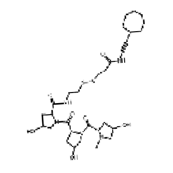 CN1CC(O)CC1C(=O)N1CC(O)CC1C(=O)N1CC(O)CC1C(=O)NCCSSCCC(=O)NC#CC1CCCCCC1